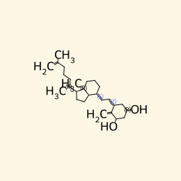 C=C(C)CCC[C@@H](C)C1CCC2/C(=C/C=C3/C[C@@H](O)CC(O)C3=C)CCC[C@@]21C